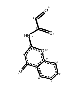 O=CC(=O)Nc1cc(=O)c2ccccc2o1